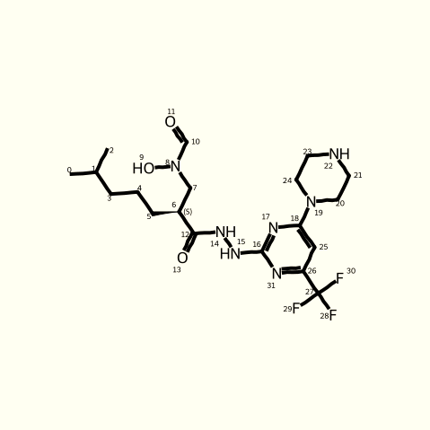 CC(C)CCC[C@@H](CN(O)C=O)C(=O)NNc1nc(N2CCNCC2)cc(C(F)(F)F)n1